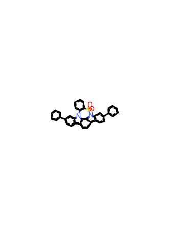 O=S1(=O)c2ccccc2-n2c3cc(-c4ccccc4)ccc3c3ccc4c5ccc(-c6ccccc6)cc5n1c4c32